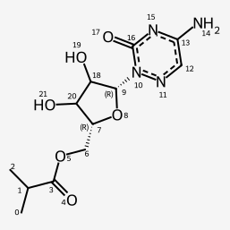 CC(C)C(=O)OC[C@H]1O[C@@H](n2ncc(N)nc2=O)C(O)C1O